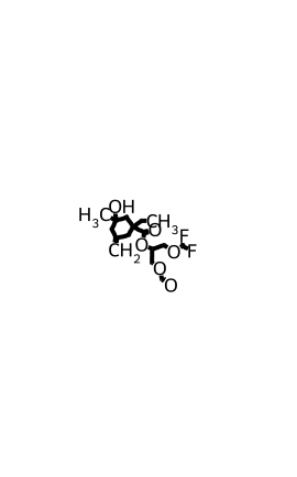 C=C1CC(C)(O)CC(CC)(C(=O)OC(COC=O)COC(F)F)C1